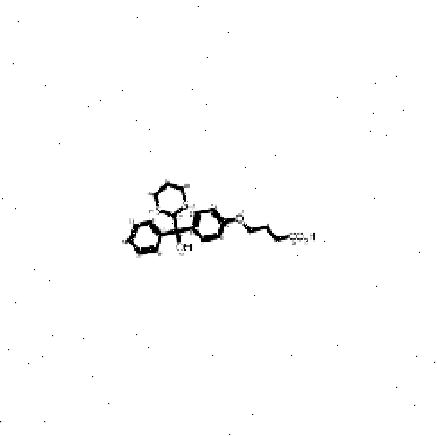 O=C(O)CCCOc1ccc(C(O)(c2ccccc2)C2SCCCS2)cc1